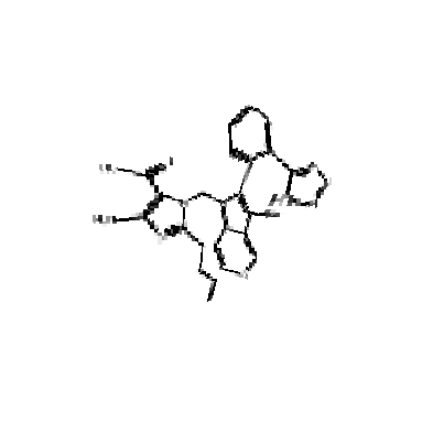 CCCCc1nc(N)c(C(=O)O)n1Cc1c2ccocc-2c(Br)c1-c1ccccc1-c1nnn[nH]1